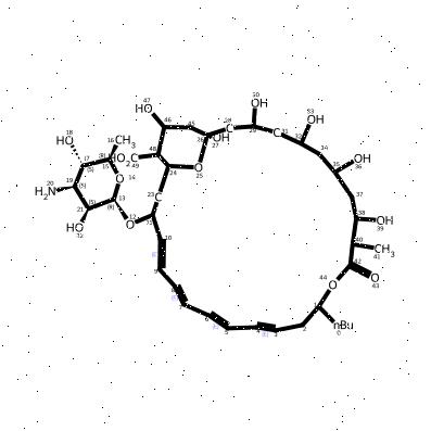 CCCCC1C/C=C/C=C/C=C/C=C/C(O[C@@H]2O[C@H](C)[C@@H](O)[C@H](N)[C@@H]2O)CC2OC(O)(CC(O)CC(O)CC(O)CC(O)C(C)C(=O)O1)CC(O)C2C(=O)O